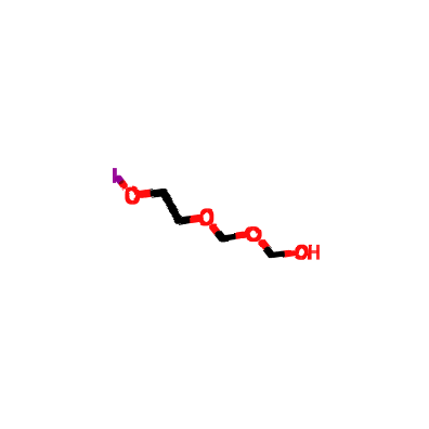 OCOCOCCOI